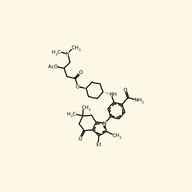 CCc1c2c(n(-c3ccc(C(N)=O)c(N[C@H]4CC[C@H](OC(=O)CC(CN(C)C)OC(C)=O)CC4)c3)c1C)CC(C)(C)CC2=O